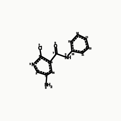 Bc1cnc(Cl)c(C(=O)Nc2ccccc2)c1